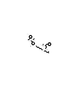 COc1cc2c(NC(C)c3cccc(Br)c3)nc(C)nc2cc1OCCCCCCNC(=O)C(CC(C)C)NC(=O)C(O)C(Cc1ccccc1)NC(=O)O